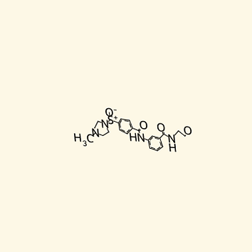 CN1CCN([S+]([O-])c2ccc(C(=O)Nc3cccc(C(=O)NCC=O)c3)cc2)CC1